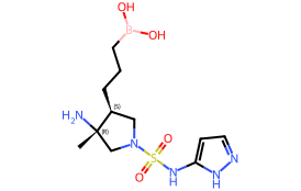 C[C@]1(N)CN(S(=O)(=O)Nc2ccn[nH]2)C[C@@H]1CCCB(O)O